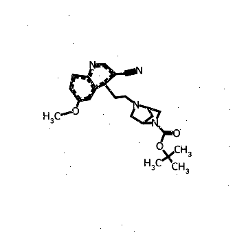 COc1ccc2ncc(C#N)c(CCN3CC4CC3CN4C(=O)OC(C)(C)C)c2c1